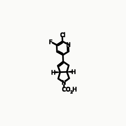 O=C(O)N1C[C@H]2CC(c3cnc(Cl)c(F)c3)=C[C@H]2C1